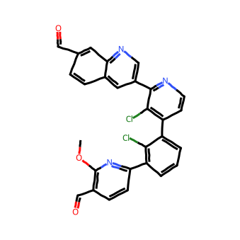 COc1nc(-c2cccc(-c3ccnc(-c4cnc5cc(C=O)ccc5c4)c3Cl)c2Cl)ccc1C=O